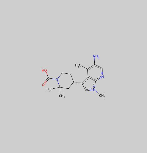 Cc1c(N)cnc2c1c([C@H]1CCN(C(=O)O)C(C)(C)C1)cn2C